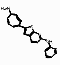 CNC1C=CC=C(c2cc3ccc(Nc4ccccc4)nc3s2)C=C1